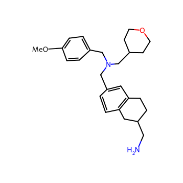 COc1ccc(CN(Cc2ccc3c(c2)CCC(CN)C3)CC2CCOCC2)cc1